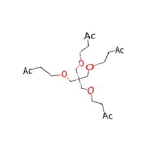 CC(=O)CCOCC(COCCC(C)=O)(COCCC(C)=O)COCCC(C)=O